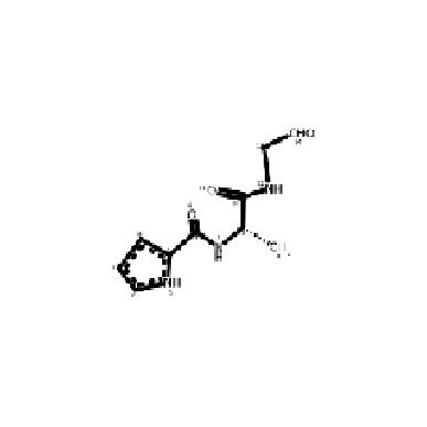 C[C@H](NC(=O)c1ccc[nH]1)C(=O)NCC=O